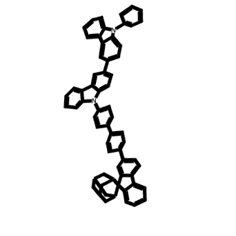 c1ccc(-n2c3ccccc3c3cc(-c4ccc5c(c4)c4ccccc4n5-c4ccc(-c5ccc(-c6ccc7c(c6)C6(c8ccccc8-7)C7CC8CC(C7)CC6C8)cc5)cc4)ccc32)cc1